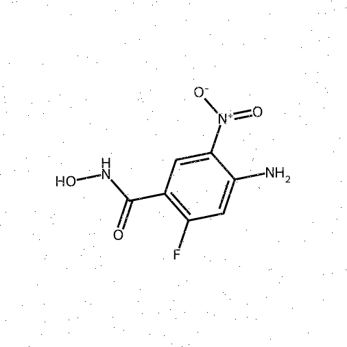 Nc1cc(F)c(C(=O)NO)cc1[N+](=O)[O-]